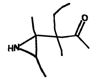 CCC(C)(C(C)=O)C1(C)NC1C